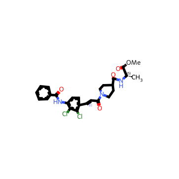 COC(=O)[C@H](C)NC(=O)C1CCN(C(=O)/C=C/c2ccc(NC(=O)c3ccccc3)c(Cl)c2Cl)CC1